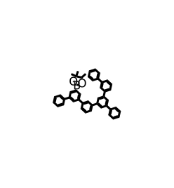 CC1OB(c2cc(-c3ccccc3)cc(-c3cccc(-c4cc(-c5ccccc5)cc(-c5cccc(-c6ccccc6)c5)c4)c3)c2)OC1(C)C